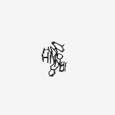 Cc1ccc(NC(=O)Nc2cc3ccccc3c(Br)n2)cc1